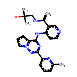 C=C(NCC(C)(C)O)c1cnccc1Nc1nc(-c2cccc(C)n2)nn2cccc12